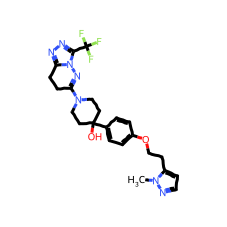 Cn1nccc1CCOc1ccc(C2(O)CCN(C3=Nn4c(nnc4C(F)(F)F)CC3)CC2)cc1